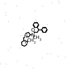 CN1CCCCC1CN1CCC(N(C)C(=O)CC(c2ccccc2)c2ccccc2)C1